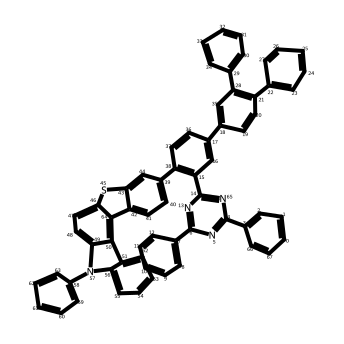 c1ccc(-c2nc(-c3ccccc3)nc(-c3cc(-c4ccc(-c5ccccc5)c(-c5ccccc5)c4)ccc3-c3ccc4c(c3)sc3ccc5c(c6ccccc6n5-c5ccccc5)c34)n2)cc1